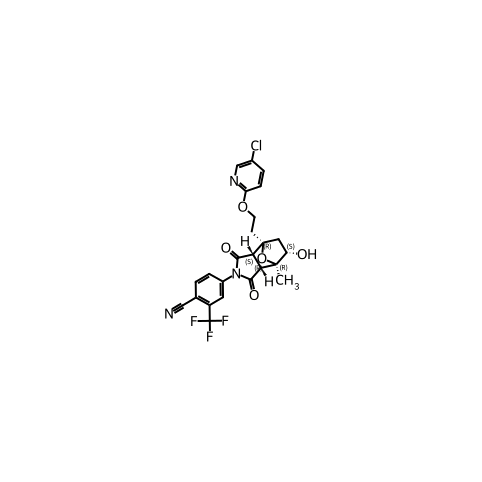 C[C@]12O[C@](CCOc3ccc(Cl)cn3)(C[C@@H]1O)[C@H]1C(=O)N(c3ccc(C#N)c(C(F)(F)F)c3)C(=O)[C@H]12